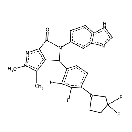 Cc1c2c(nn1C)C(=O)N(c1ccc3[nH]cnc3c1)C2c1ccc(N2CCC(F)(F)C2)c(F)c1F